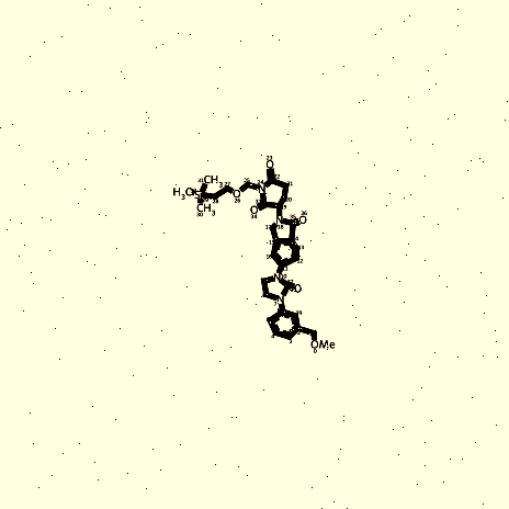 COCc1cccc(N2CCN(c3ccc4c(c3)CN(C3CCC(=O)N(COCC[Si](C)(C)C)C3=O)C4=O)C2=O)c1